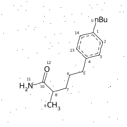 [CH2]CCCc1ccc(CCCC(C)C(N)=O)cc1